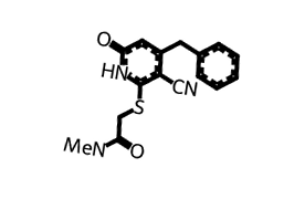 CNC(=O)CSc1[nH]c(=O)cc(Cc2ccccc2)c1C#N